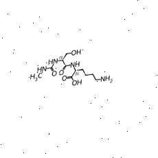 CNC(=O)N[C@@H](CO)C(=O)N[C@@H](CCCCN)C(=O)O